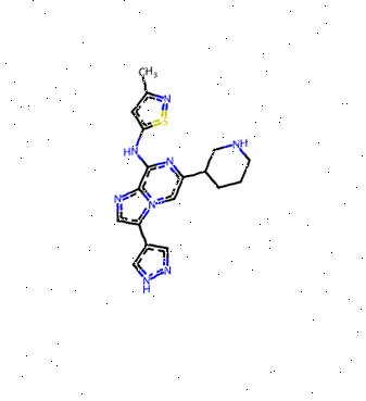 Cc1cc(Nc2nc(C3CCCNC3)cn3c(-c4cn[nH]c4)cnc23)sn1